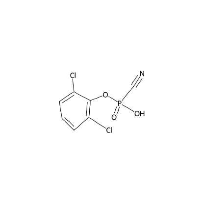 N#CP(=O)(O)Oc1c(Cl)cccc1Cl